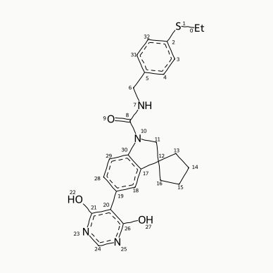 CCSc1ccc(CNC(=O)N2CC3(CCCC3)c3cc(-c4c(O)ncnc4O)ccc32)cc1